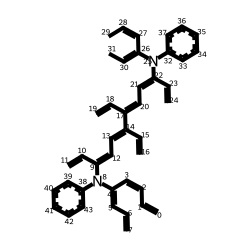 C=C/C=C\C(=C/C=C)N(/C(C=C)=C/C=C(C=C)/C(C=C)=C/C=C(\C=C)N(C(/C=C\C)=C/C)c1ccccc1)c1ccccc1